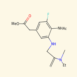 C=C(CNc1cc(CC(=O)OC)cc(F)c1NC(C)=O)N(C)CC